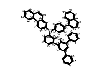 c1ccc(-c2cc(-c3ccccc3)c3sc4c(N(c5ccc(-c6cccc7ccccc67)cc5)c5ccc6c(ccc7ccccc76)c5)cccc4c3c2)cc1